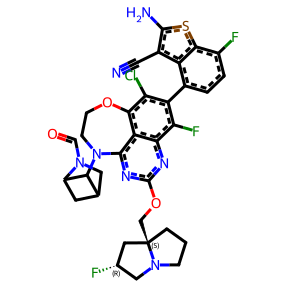 N#Cc1c(N)sc2c(F)ccc(-c3c(Cl)c4c5c(nc(OC[C@@]67CCCN6C[C@H](F)C7)nc5c3F)N(C3C5CC3N(C=O)C5)CCO4)c12